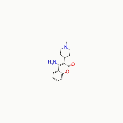 CN1CCC(c2c(N)c3ccccc3oc2=O)CC1